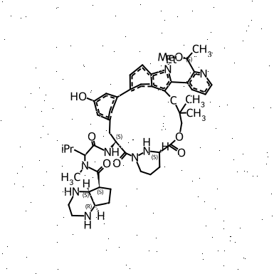 CCn1c(-c2cccnc2[C@H](C)OC)c2c3cc(ccc31)-c1cc(O)cc(c1)C[C@H](NC(=O)C(C(C)C)N(C)C(=O)[C@H]1CC[C@H]3NCCN[C@@H]13)C(=O)N1CCC[C@H](N1)C(=O)OCC(C)(C)C2